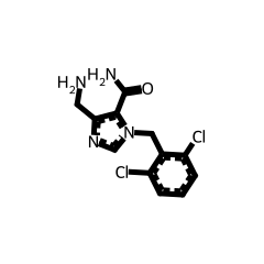 NCc1ncn(Cc2c(Cl)cccc2Cl)c1C(N)=O